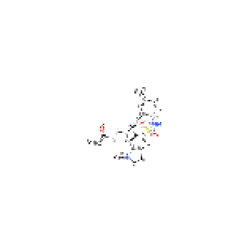 COC(=O)CCCC#Cc1cc(C(F)(F)F)ccc1NS(=O)(=O)c1ccc2c(c1)CCN2C(C)=O